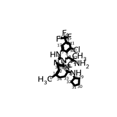 C/C1=C\c2nc(Nc3cc(Cl)cc(C(F)(F)F)c3)n(CC(C)(C)N)c2/N=C(/NC2CCCC2)CC1